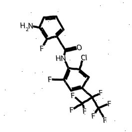 Nc1cccc(C(=O)Nc2c(F)cc(C(F)(C(F)(F)F)C(F)(F)F)cc2Cl)c1F